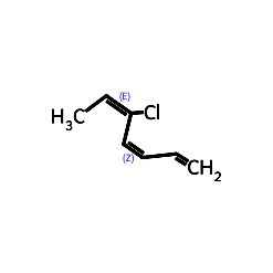 C=C/C=C\C(Cl)=C/C